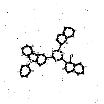 Clc1c(-c2nc(-c3ccc4ccccc4c3)nc(-c3ccc4c(c3)c3ccccc3n4-c3ccccc3)n2)ccc2ccccc12